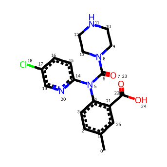 Cc1ccc(N(C(=O)N2CCNCC2)c2ccc(Cl)cn2)c(C(=O)O)c1